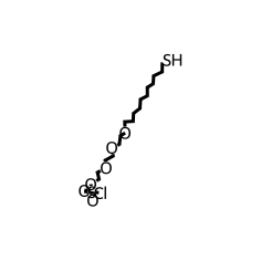 O=S(=O)(Cl)OCCOCCOCCOCCCCCCCCCCCS